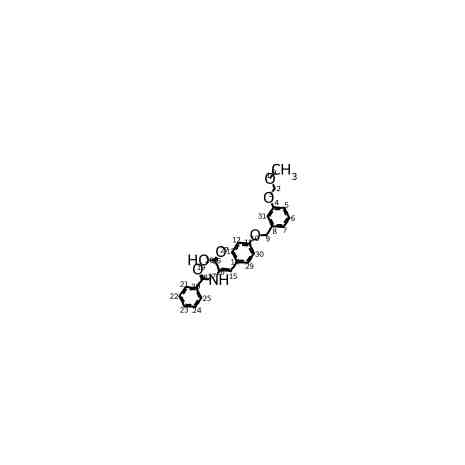 COCOc1cccc(COc2ccc(/C=C(/NC(=O)c3ccccc3)C(=O)O)cc2)c1